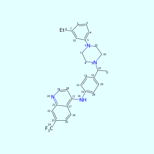 CCc1cccc(N2CCN(C(C)c3ccc(Nc4ccnc5cc(C(F)(F)F)ccc45)cc3)CC2)c1